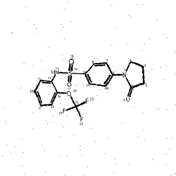 O=C1CCCN1c1ccc(S(=O)(=O)Nc2ccccc2OC(F)(F)F)cc1